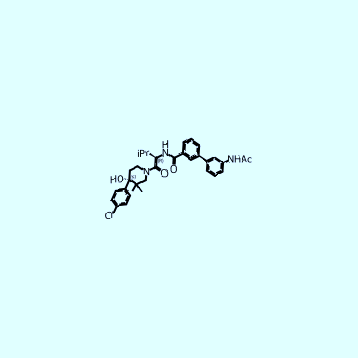 CC(=O)Nc1cccc(-c2cccc(C(=O)N[C@@H](C(=O)N3CC[C@](O)(c4ccc(Cl)cc4)C(C)(C)C3)C(C)C)c2)c1